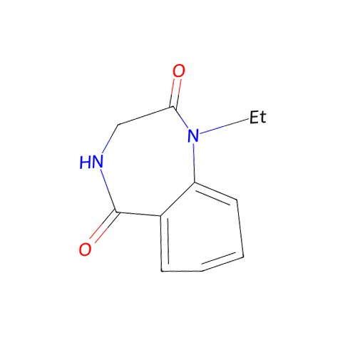 CCN1C(=O)CNC(=O)c2ccccc21